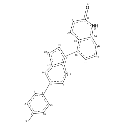 Cc1ccc(-c2cnc3c(-c4cccc5[nH]c(=O)ccc45)cnn3c2)cc1